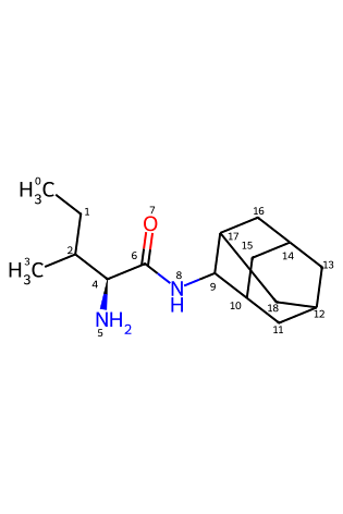 CCC(C)[C@H](N)C(=O)NC1C2CC3CC(C2)CC1C3